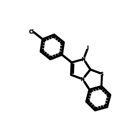 Clc1ccc(C2=CN3c4ccccc4SC3N2I)cc1